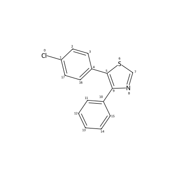 Clc1ccc(-c2scnc2-c2ccccc2)cc1